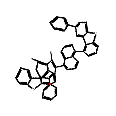 CCC1=C(c2cccc3c(-c4cccc5oc6ccc(-c7ccccc7)cc6c45)cccc23)/N=C(/c2ccccc2)CC\C(C)=C\1c1cccc2sc3ccccc3c12